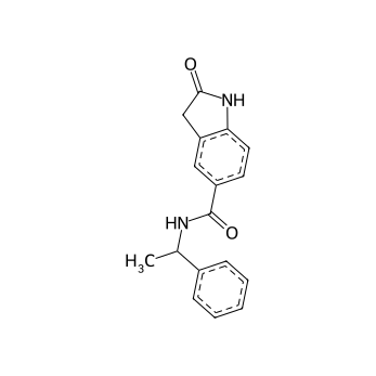 CC(NC(=O)c1ccc2c(c1)CC(=O)N2)c1ccccc1